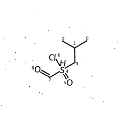 CC(C)C[SH](=O)(Cl)C=O